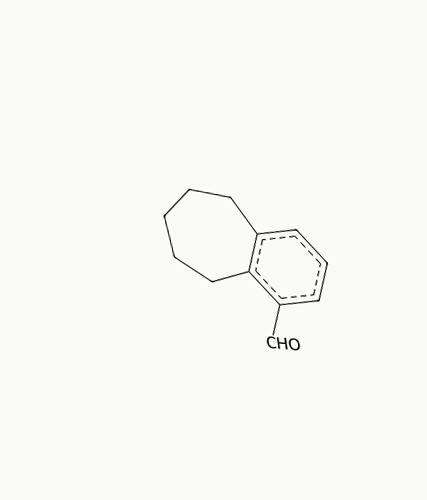 O=Cc1cccc2c1CCCCC2